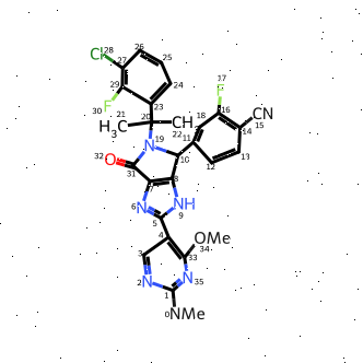 CNc1ncc(-c2nc3c([nH]2)C(c2ccc(C#N)c(F)c2)N(C(C)(C)c2cccc(Cl)c2F)C3=O)c(OC)n1